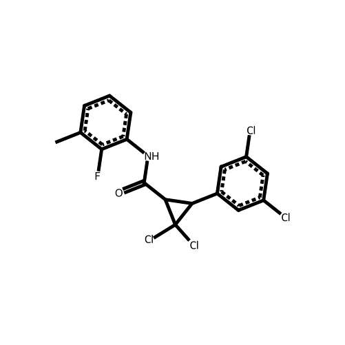 Cc1cccc(NC(=O)C2C(c3cc(Cl)cc(Cl)c3)C2(Cl)Cl)c1F